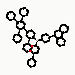 c1ccc(-c2ccc(N(c3ccc(-c4cc5ccccc5c5ccccc45)cc3)c3ccc(-c4cc(-c5ccccc5)c(-c5ccccc5)cc4-c4ccccc4)cc3-c3ccccc3)cc2)cc1